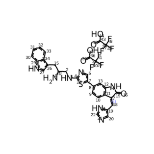 N[C@H](CNc1ncc(-c2ccc3c(c2)NC(=O)/C3=C/c2cnc[nH]2)s1)Cc1c[nH]c2ccccc12.O=C(O)C(F)(F)F.O=C(O)C(F)(F)F